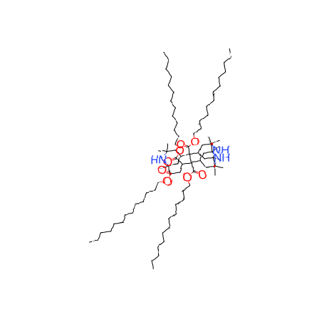 CCCCCCCCCCCCCOC(=O)CC(C(=O)OCCCCCCCCCCCCC)C(C(=O)OCCCCCCCCCCCCC)(C1CC(C)(C)NC(C)(C)C1)C(C(=O)OCCCCCCCCCCCCC)(C1CC(C)(C)NC(C)(C)C1)C1CC(C)(C)NC(C)(C)C1